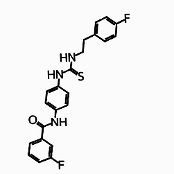 O=C(Nc1ccc(NC(=S)NCCc2ccc(F)cc2)cc1)c1cccc(F)c1